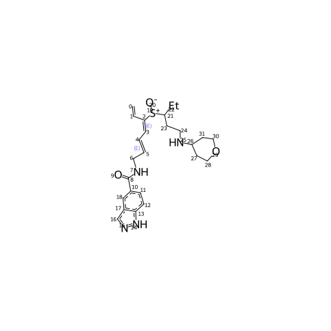 C=C/C(=C\C=C\CNC(=O)c1ccc2[nH]ncc2c1)[S+]([O-])C(CC)CCNC1CCOCC1